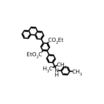 CCOC(=O)c1cc(-c2ccc3ccc4ccccc4c3c2)c(C(=O)OCC)cc1-c1ccc(C(C)(C)Nc2ccc(C)cc2)cc1